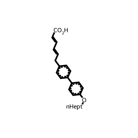 CCCCCCCOc1ccc(-c2ccc(C/C=C/C=C/C(=O)O)cc2)cc1